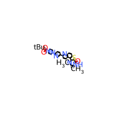 C[C@@H]1CN(C)c2c(sc3ccc4nc(-c5ccc(N6CCN(C(=O)OC(C)(C)C)CC6)nc5)ccc4c23)C(=O)N1